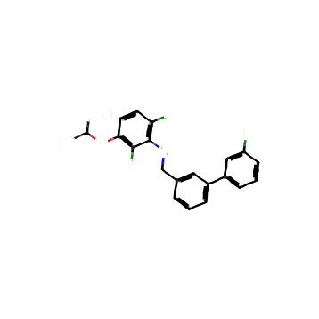 CCC(Oc1ccc(F)c(NCc2cccc(-c3cccc(F)c3)c2)c1F)C(=O)O